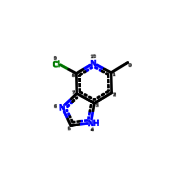 Cc1cc2[nH]cnc2c(Cl)n1